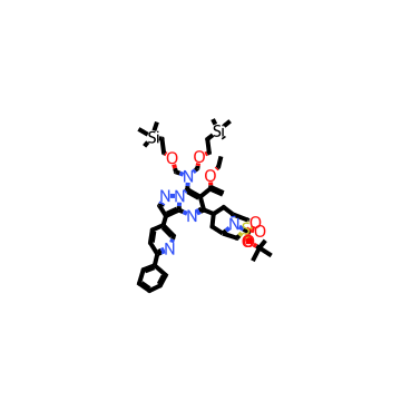 C=C(OCC)c1c(C2CC3CS(=O)(=O)CC(C2)N3C(=O)OC(C)(C)C)nc2c(-c3ccc(-c4ccccc4)nc3)cnn2c1N(COCC[Si](C)(C)C)COCC[Si](C)(C)C